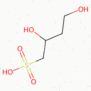 O=S(=O)(O)CC(O)CCO